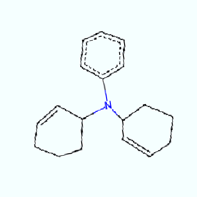 C1=CC(N(c2ccccc2)C2C=CCCC2)CCC1